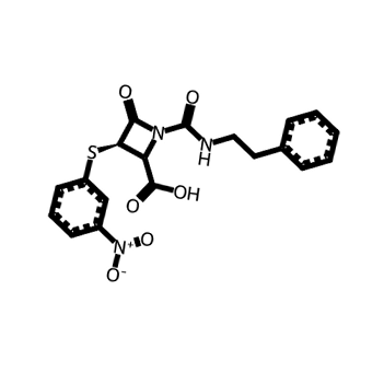 O=C(O)C1[C@@H](Sc2cccc([N+](=O)[O-])c2)C(=O)N1C(=O)NCCc1ccccc1